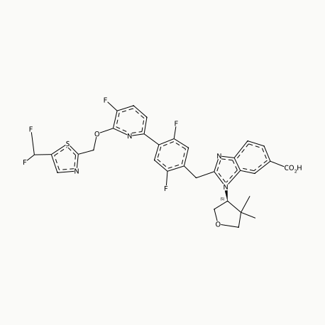 CC1(C)COC[C@H]1n1c(Cc2cc(F)c(-c3ccc(F)c(OCc4ncc(C(F)F)s4)n3)cc2F)nc2ccc(C(=O)O)cc21